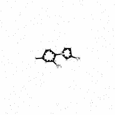 Cc1ccc(-n2ccc(C#N)c2)c(N)c1